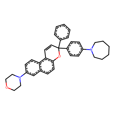 C1=CC(c2ccccc2)(c2ccc(N3CCCCCC3)cc2)Oc2ccc3cc(N4CCOCC4)ccc3c21